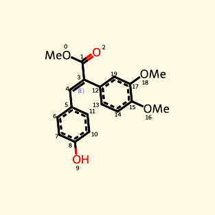 COC(=O)/C(=C/c1ccc(O)cc1)c1ccc(OC)c(OC)c1